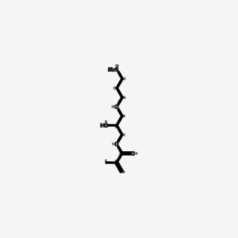 C=C(C)C(=O)OCC(O)COCCCSC